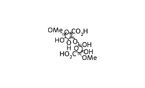 COC[C@@H]1O[C@@H](C(=O)O)[C@@H](COC[C@@H]2OC(C(=O)O)[C@@H](COC)[C@@H](O)C2O)C(O)C1O